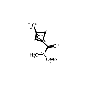 CON(C)C(=O)C12CC(C(F)(F)F)(C1)C2